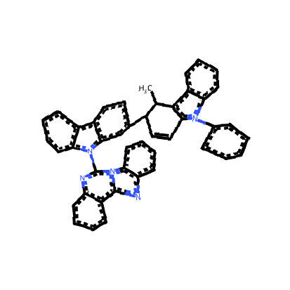 CC1c2c(n(-c3ccccc3)c3ccccc23)C=CC1c1ccc2c3ccccc3n(-c3nc4ccccc4c4nc5ccccc5n34)c2c1